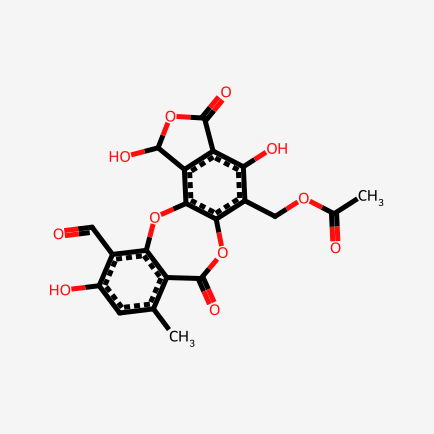 CC(=O)OCc1c(O)c2c(c3c1OC(=O)c1c(C)cc(O)c(C=O)c1O3)C(O)OC2=O